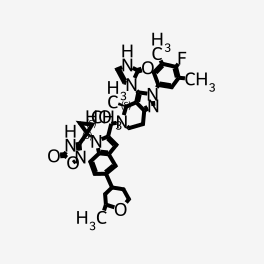 Cc1cc(-n2nc3c(c2-n2cc[nH]c2=O)[C@H](C)N(C(O)c2cc4cc(C5CCOC(C)C5)ccc4n2[C@@]2(c4noc(=O)[nH]4)C[C@@H]2C)CC3)cc(C)c1F